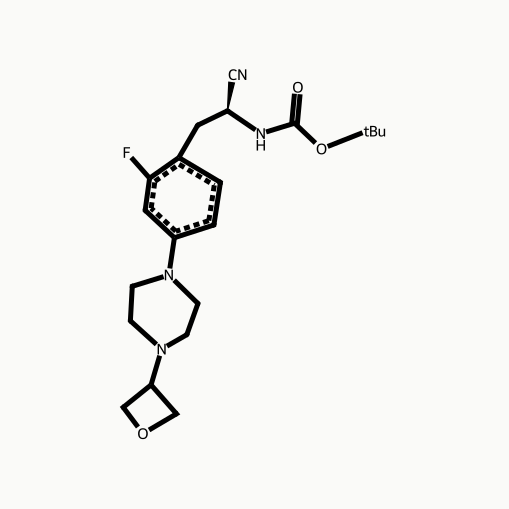 CC(C)(C)OC(=O)N[C@H](C#N)Cc1ccc(N2CCN(C3COC3)CC2)cc1F